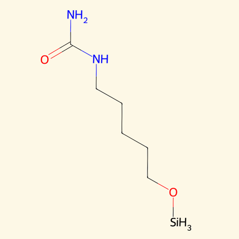 NC(=O)NCCCCCO[SiH3]